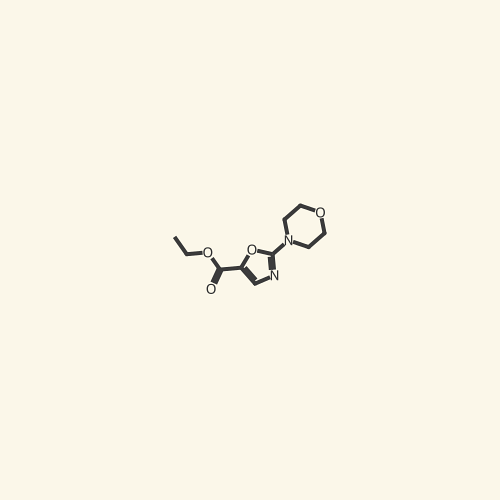 CCOC(=O)c1cnc(N2CCOCC2)o1